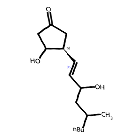 CCCCC(C)CC(O)/C=C/[C@@H]1CC(=O)CC1O